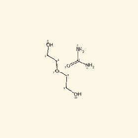 NC(N)=O.OCCOCCO